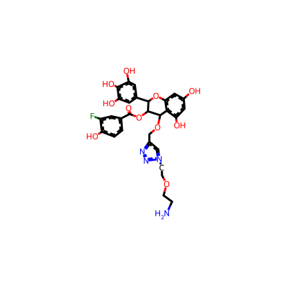 NCCOCCn1cc(COC2c3c(O)cc(O)cc3OC(c3cc(O)c(O)c(O)c3)C2OC(=O)c2ccc(O)c(F)c2)nn1